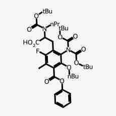 CCCCOc1c(C(=O)Oc2ccccc2)c(C)c(F)c(CC(C(=O)O)N(CCC)C(=O)OC(C)(C)C)c1N(C(=O)OC(C)(C)C)C(=O)OC(C)(C)C